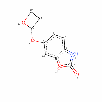 O=c1[nH]c2ccc(OC3CCO3)cc2o1